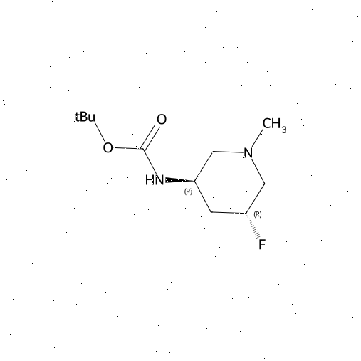 CN1C[C@H](F)C[C@@H](NC(=O)OC(C)(C)C)C1